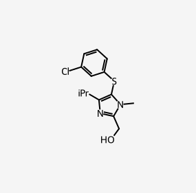 CC(C)c1nc(CO)n(C)c1Sc1cccc(Cl)c1